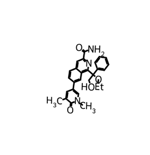 CCOC(CO)(c1ccccc1)c1nc(C(N)=O)cc2ccc(-c3cc(C)c(=O)n(C)c3)cc12